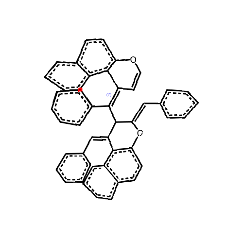 C1=C/C(=C(/c2ccccc2)C2C(=Cc3ccccc3)Oc3ccc4ccccc4c3C2=Cc2ccccc2)c2c(ccc3ccccc23)O1